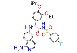 CCOc1cc(C(Nc2ccc3c(N)nccc3c2)C(=O)NS(=O)(=O)c2ccc(F)cc2)ccc1OC(C)C